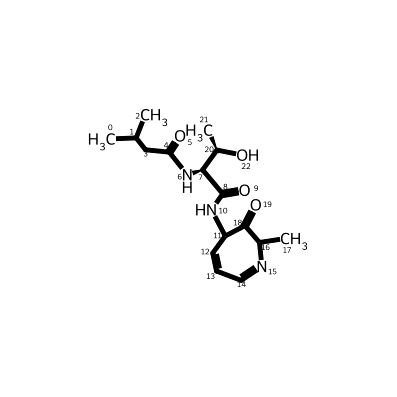 CC(C)CC(=O)N[C@H](C(=O)NC1C=CC=NC(C)C1=O)[C@@H](C)O